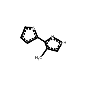 Cc1c[nH]nc1-c1cccs1